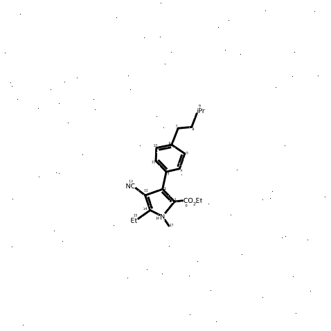 CCOC(=O)c1c(-c2ccc(CCC(C)C)cc2)c(C#N)c(CC)n1C